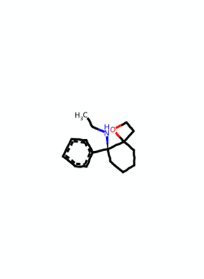 CCN[C@]1(c2ccccc2)CCCCC12CCO2